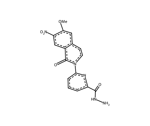 COc1cc2ccn(-c3cccc(C(=O)NN)n3)c(=O)c2cc1[N+](=O)[O-]